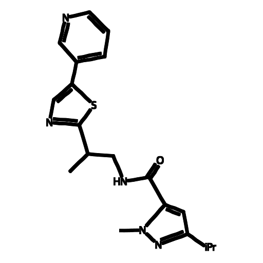 CC(C)c1cc(C(=O)NCC(C)c2ncc(-c3cccnc3)s2)n(C)n1